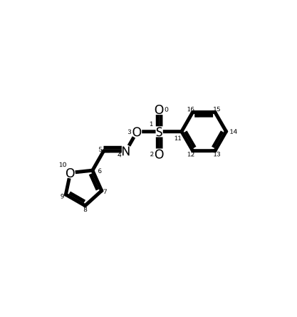 O=S(=O)(ON=Cc1ccco1)c1ccccc1